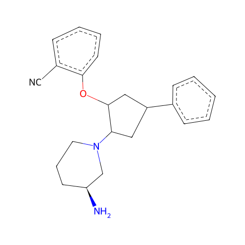 N#Cc1ccccc1OC1CC(c2ccccc2)CC1N1CCC[C@H](N)C1